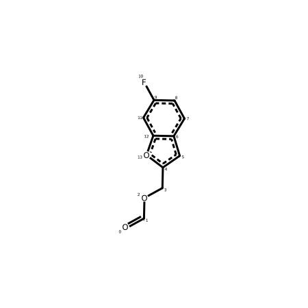 O=[C]OCc1cc2ccc(F)cc2o1